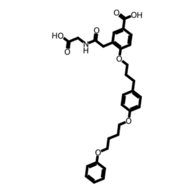 O=C(O)CNC(=O)Cc1cc(C(=O)O)ccc1OCCCc1ccc(OCCCCOc2ccccc2)cc1